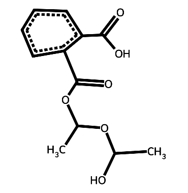 CC(O)OC(C)OC(=O)c1ccccc1C(=O)O